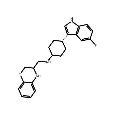 Fc1ccc2[nH]cc([C@H]3CC[C@H](NCC4COc5ccccc5N4)CC3)c2c1